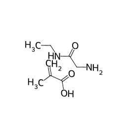 C=C(C)C(=O)O.CCNC(=O)CN